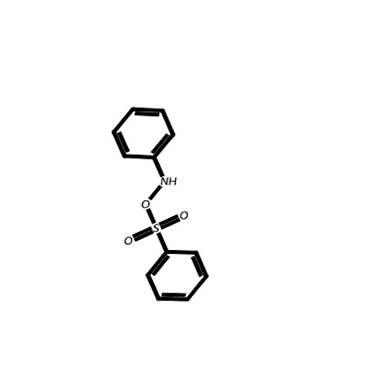 O=S(=O)(ONc1ccccc1)c1ccccc1